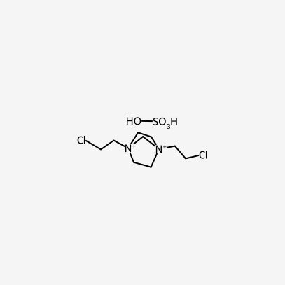 ClCC[N+]12CC[N+](CCCl)(CC1)C2.O=S(=O)(O)O